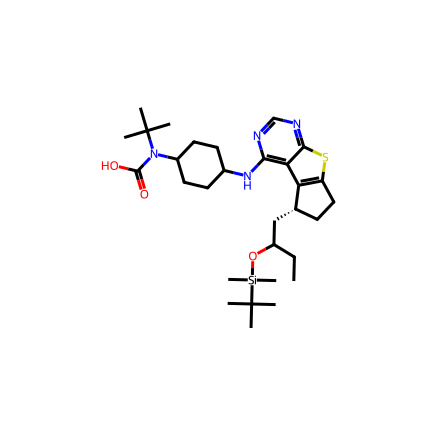 CCC(C[C@H]1CCc2sc3ncnc(NC4CCC(N(C(=O)O)C(C)(C)C)CC4)c3c21)O[Si](C)(C)C(C)(C)C